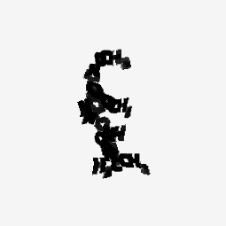 COCCN1CCC(COc2cc3ncnc(-c4ccc(NC(=O)Cn5cc(C(C)C)nn5)cc4)c3cc2OC)CC1